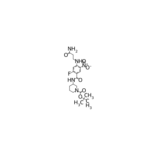 CC(C)(C)OC(=O)N1CCCC(NC(=O)c2cc([N+](=O)[O-])c(NCCC(N)=O)cc2F)C1